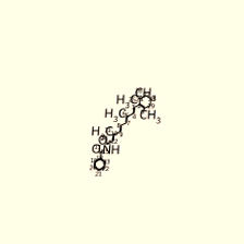 CC1=C(/C=C/C(C)=C/C=C/C(C)=C/C(=O)NC(=O)c2ccccc2)C(C)(C)CCC1